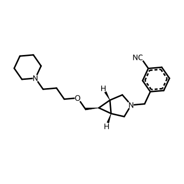 N#Cc1cccc(CN2C[C@@H]3[C@@H](COCCCN4CCCCC4)[C@@H]3C2)c1